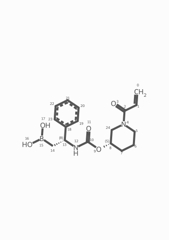 C=CC(=O)N1CCC[C@H](OC(=O)N[C@H](CB(O)O)c2ccccc2)C1